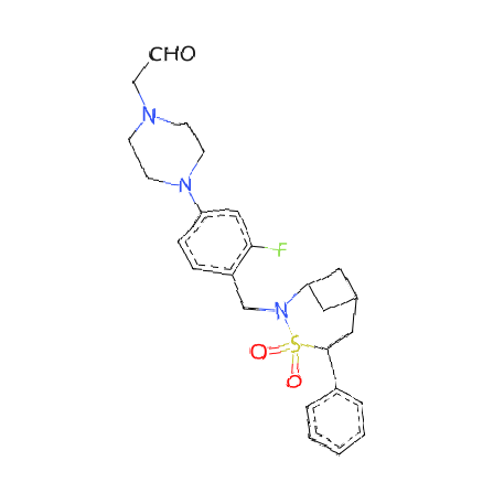 O=CCN1CCN(c2ccc(CN3C4CC(C4)CC(c4ccccc4)S3(=O)=O)c(F)c2)CC1